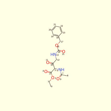 CCOC(=O)C(NC(C)=O)C(=O)CNC(=O)OCc1ccccc1